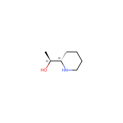 C[C@H](O)[C@@H]1CCCCN1